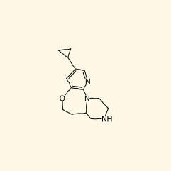 c1nc2c(cc1C1CC1)OCCC1CNCCN21